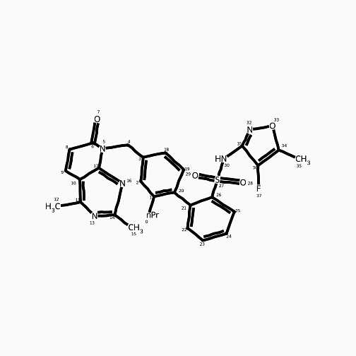 CCCc1cc(Cn2c(=O)ccc3c(C)nc(C)nc32)ccc1-c1ccccc1S(=O)(=O)Nc1noc(C)c1F